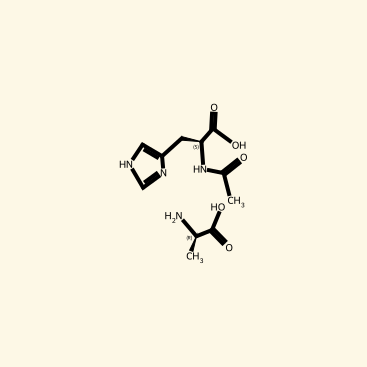 CC(=O)N[C@@H](Cc1c[nH]cn1)C(=O)O.C[C@@H](N)C(=O)O